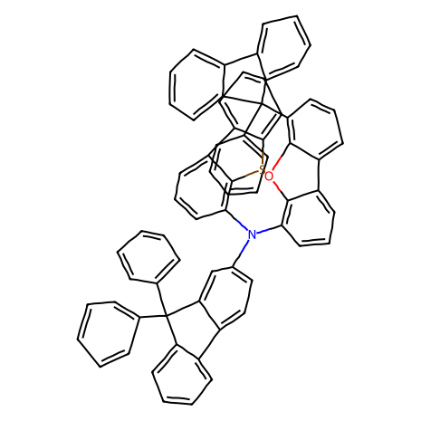 c1ccc(C2(c3ccccc3)c3ccccc3-c3ccc(N(c4cccc5c4oc4c(C6(c7ccccc7)c7ccccc7-c7ccccc76)cccc45)c4cccc5c4sc4ccccc45)cc32)cc1